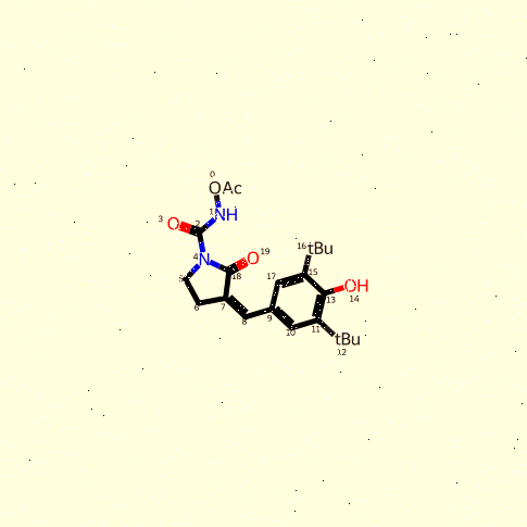 CC(=O)ONC(=O)N1CCC(=Cc2cc(C(C)(C)C)c(O)c(C(C)(C)C)c2)C1=O